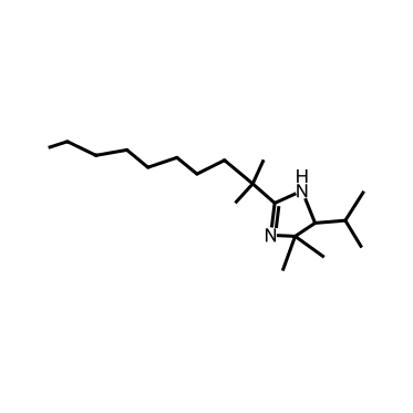 CCCCCCCCC(C)(C)C1=NC(C)(C)C(C(C)C)N1